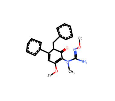 CCON=C(N)N(C)C1=C(OCC)C=C(c2ccccc2)C(Cc2ccccc2)C1=O